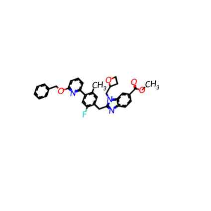 COC(=O)c1ccc2nc(Cc3cc(C)c(-c4cccc(OCc5ccccc5)n4)cc3F)n(CC3CCO3)c2c1